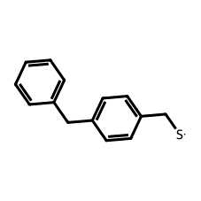 [S]Cc1ccc(Cc2ccccc2)cc1